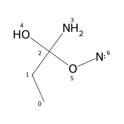 CCC(N)(O)O[N]